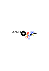 CC(=O)Nc1ccc(S(=O)(=O)Nc2nnc(C)s2)cc1